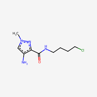 Cn1cc(N)c(C(=O)NCCCCCl)n1